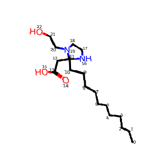 CCCCCCCCCCCC1(CC(=O)O)NCCN1CCO